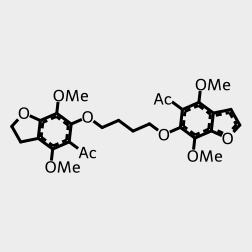 COc1c2c(c(OC)c(C(C)=O)c1OCCCCOc1c(C(C)=O)c(OC)c3ccoc3c1OC)CCO2